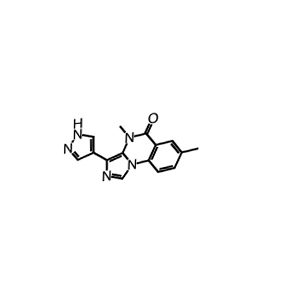 Cc1ccc2c(c1)c(=O)n(C)c1c(-c3cn[nH]c3)ncn21